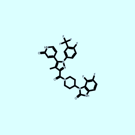 Cc1c(C(=O)N2CCC(n3c(=O)[nH]c4ccc(F)c(F)c43)CC2)nn(-c2ccc(F)c(C(F)(F)F)c2)c1-c1cc[nH]c(=O)c1